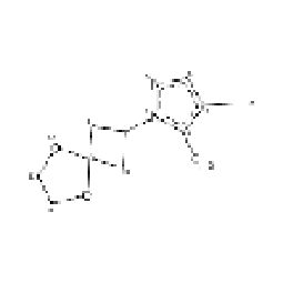 Cc1c(I)cnn1C1CC2(C1)OCCO2